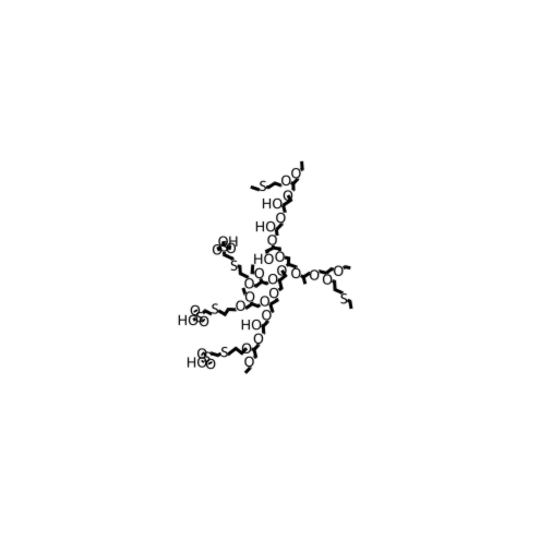 CCOCC(COCC(O)COCC(O)COC(CO)COCC(COC(C)COCC(COCC)OCCCSCC)OCC(COCC(COCC(O)COCC(COCC)OCCCSCCS(=O)(=O)O)OCC(COCCCSCCS(=O)(=O)O)OCC)OCC(COCCCSCCS(=O)(=O)O)OCC)OCCCSCC